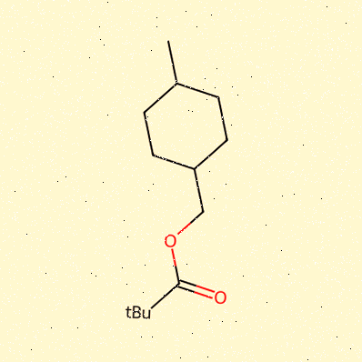 CC1CCC(COC(=O)C(C)(C)C)CC1